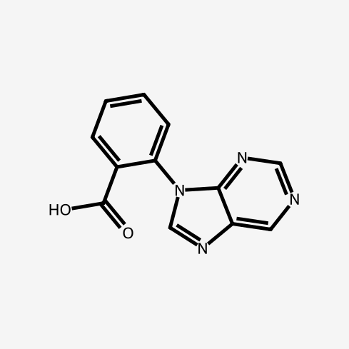 O=C(O)c1ccccc1-n1cnc2cncnc21